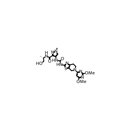 COc1cc(N2CCc3nc(NC(=O)Nc4cn(C)nc4C(=O)N[C@@H](C)CO)sc3C2)nc(OC)n1